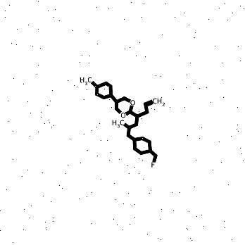 C=CCC(CC(C)CC1CCC(CF)CC1)C1OCC(C2CCC(C)CC2)CO1